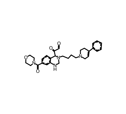 O=CC(=O)C1c2ccc(C(=O)N3CCOCC3)cc2NCN1CCCCN1CC=C(c2ccccc2)CC1